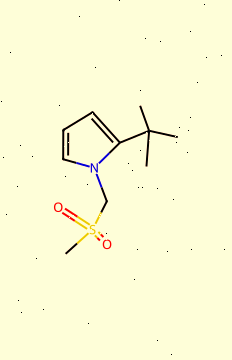 CC(C)(C)c1cccn1CS(C)(=O)=O